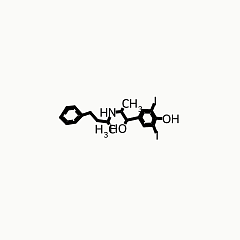 CC(CCc1ccccc1)NC(C)C(O)c1cc(I)c(O)c(I)c1